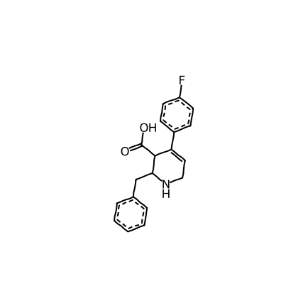 O=C(O)C1C(c2ccc(F)cc2)=CCNC1Cc1ccccc1